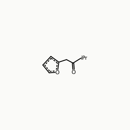 CC(C)C(=O)Cc1ccco1